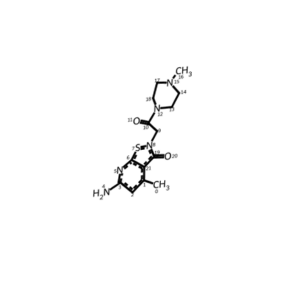 Cc1cc(N)nc2sn(CC(=O)N3CCN(C)CC3)c(=O)c12